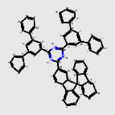 C1=CC2c3ccccc3C3(c4ccccc4-c4ccccc43)C2C=C1c1nc(-c2cc(-c3ccccc3)cc(-c3ccccc3)c2)nc(-c2cc(-c3ccccc3)cc(-c3ccccc3)c2)n1